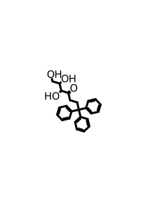 O=C(CCC(c1ccccc1)(c1ccccc1)c1ccccc1)C(O)C(O)CO